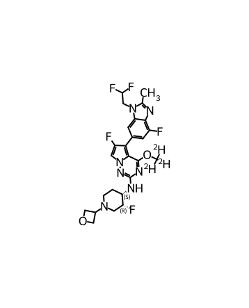 [2H]C([2H])([2H])Oc1nc(N[C@H]2CCN(C3COC3)C[C@H]2F)nn2cc(F)c(-c3cc(F)c4nc(C)n(CC(F)F)c4c3)c12